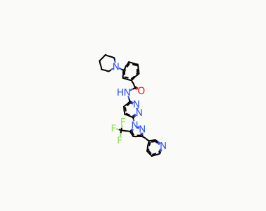 O=C(Nc1ccc(-n2nc(-c3cccnc3)cc2C(F)(F)F)nn1)c1cccc(N2CCCCC2)c1